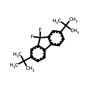 CC(C)(C)c1ccc2c(c1)C(F)(F)c1cc(C(C)(C)C)ccc1-2